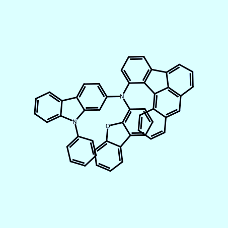 c1ccc(-n2c3ccccc3c3ccc(N(c4cccc5c4-c4c6ccccc6cc6cccc-5c46)c4cccc5c4oc4ccccc45)cc32)cc1